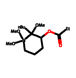 CCCCC1(OC)C(OC(=O)CC)CCC[Si]1(OC)OC